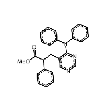 COC(=O)C(Cc1cncnc1N(c1ccccc1)c1ccccc1)c1ccccc1